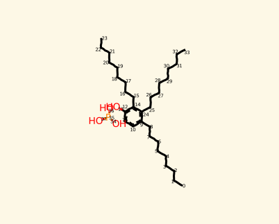 CCCCCCCCCc1ccc(O)c(CCCCCCCCC)c1CCCCCCCCC.OP(O)O